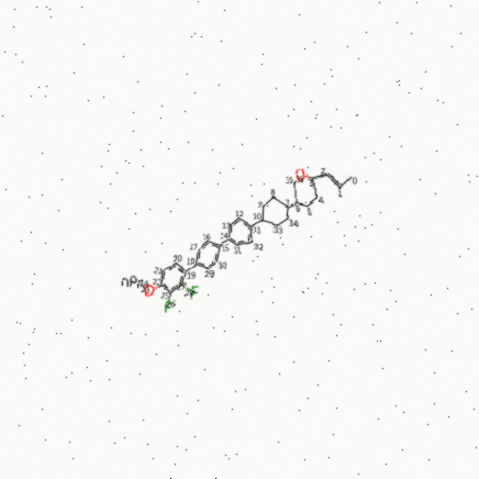 C/C=C/C1CCC(C2CCC(c3ccc(-c4ccc(-c5ccc(OCCC)c(F)c5F)cc4)cc3)CC2)CO1